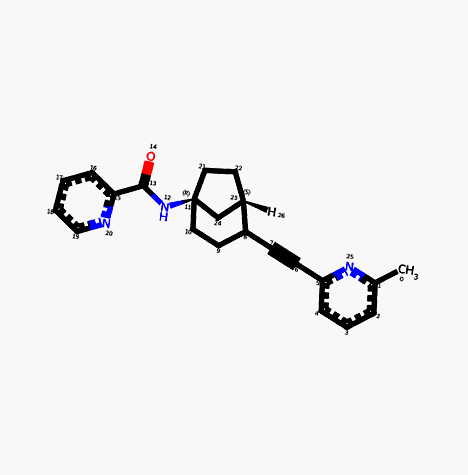 Cc1cccc(C#CC2CC[C@]3(NC(=O)c4ccccn4)CC[C@H]2C3)n1